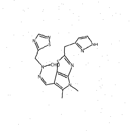 Cc1c(/C=N\N(C=O)Cc2ncns2)c2sc(Cc3cc[nH]n3)nc2n1C